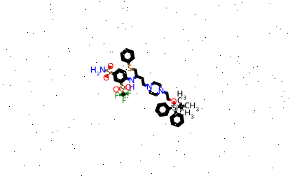 CC(C)(C)[Si](OCCN1CCN(CCC(CSc2ccccc2)Nc2ccc(S(N)(=O)=O)cc2S(=O)(=O)C(F)(F)F)CC1)(c1ccccc1)c1ccccc1